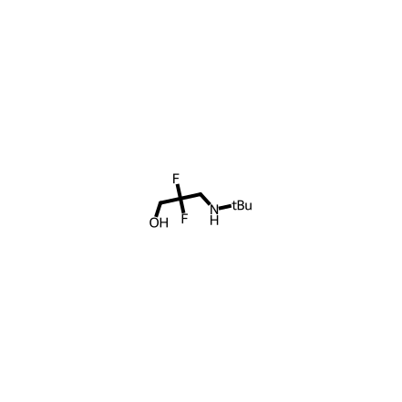 CC(C)(C)NCC(F)(F)CO